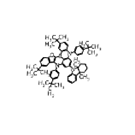 CC(C)(C)c1ccc(N2c3ccc(C(C)(C)C)cc3B3c4oc5ccc(C(C)(C)C)cc5c4N(c4ccc(C(C)(C)C)cc4)c4cc(N5c6ccccc6C6(C)CCCCC56C)cc2c43)cc1